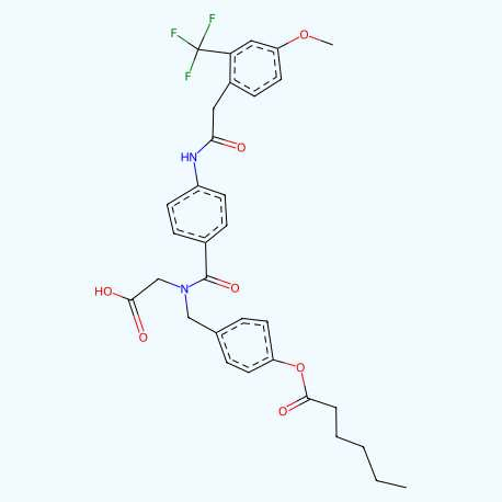 CCCCCC(=O)Oc1ccc(CN(CC(=O)O)C(=O)c2ccc(NC(=O)Cc3ccc(OC)cc3C(F)(F)F)cc2)cc1